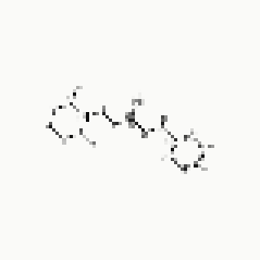 CC1CCCC(C)N1CC[C@@H]([NH])CSc1ccccc1